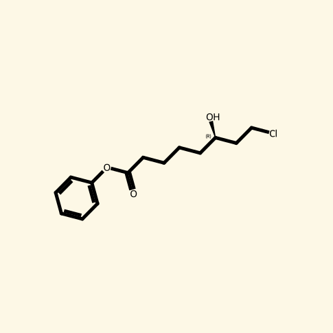 O=C(CCCC[C@@H](O)CCCl)Oc1ccccc1